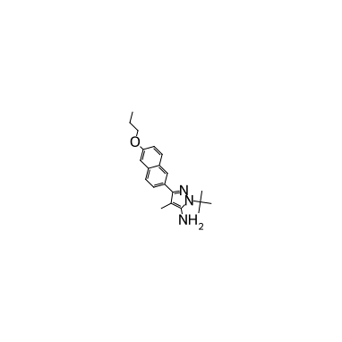 CCCOc1ccc2cc(-c3nn(C(C)(C)C)c(N)c3C)ccc2c1